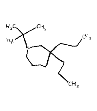 CCCC1(CCC)CCCN(C(C)(C)C)C1